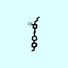 CCCCc1ccc(C#CC2CCC(c3ccc(CC)cc3)CC2)cc1Cl